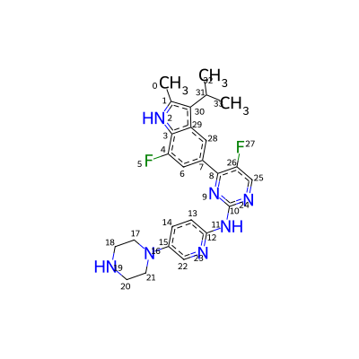 Cc1[nH]c2c(F)cc(-c3nc(Nc4ccc(N5CCNCC5)cn4)ncc3F)cc2c1C(C)C